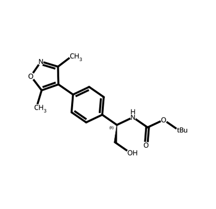 Cc1noc(C)c1-c1ccc([C@H](CO)NC(=O)OC(C)(C)C)cc1